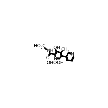 Cc1c(-c2cccnc2)cnc(C(=O)NCC(=O)O)c1O.O=CO